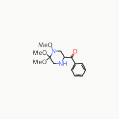 CON1CC(C(=O)c2ccccc2)NCC1(OC)OC